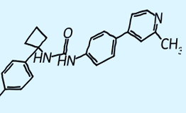 Cc1cc(-c2ccc(NC(=O)NC3(c4ccc(Br)cc4)CCC3)cc2)ccn1